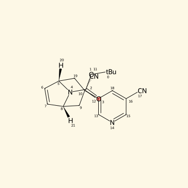 CC(C)(C)OC(=O)N1[C@@H]2C=C[C@H]1C[C@](C#N)(c1cncc(C#N)c1)C2